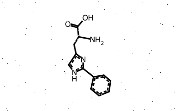 NC(Cc1c[nH]c(-c2ccccc2)n1)C(=O)O